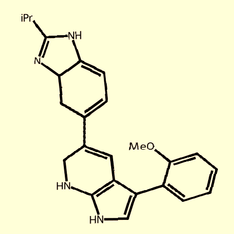 COc1ccccc1-c1c[nH]c2c1C=C(C1=CC=C3NC(C(C)C)=NC3C1)CN2